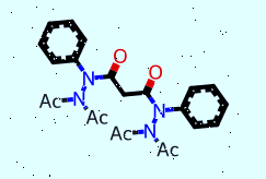 CC(=O)N(C(C)=O)N(C(=O)CC(=O)N(c1ccccc1)N(C(C)=O)C(C)=O)c1ccccc1